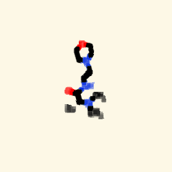 CC[C@H](C)C(C(=O)NCCN1CCOCC1)N(C)C